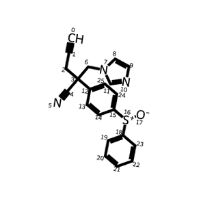 C#CCC(C#N)(Cn1ccnc1)c1ccc([S+]([O-])c2ccccc2)cc1